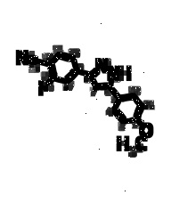 COc1ccc(-c2cc(-c3ccc(C#N)c(F)c3)n[nH]2)cc1